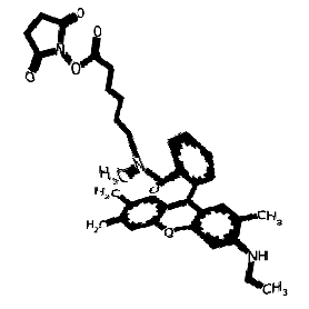 C=c1cc2c(cc1C)=C(c1ccccc1C(=O)N(C)CCCCCC(=O)ON1C(=O)CCC1=O)c1cc(C)c(NCC)cc1O2